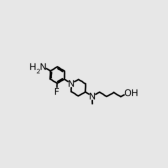 CN(CCCCO)C1CCN(c2ccc(N)cc2F)CC1